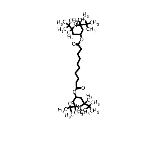 CN1C(C)(C(C)(C)C)CC(OC(=O)CCCCCCCCC(=O)OC2CC(C)(C(C)(C)C)N(C)C(C)(C(C)(C)C)C2)CC1(C)C(C)(C)C